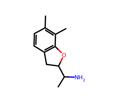 Cc1ccc2c(c1C)OC(C(C)N)C2